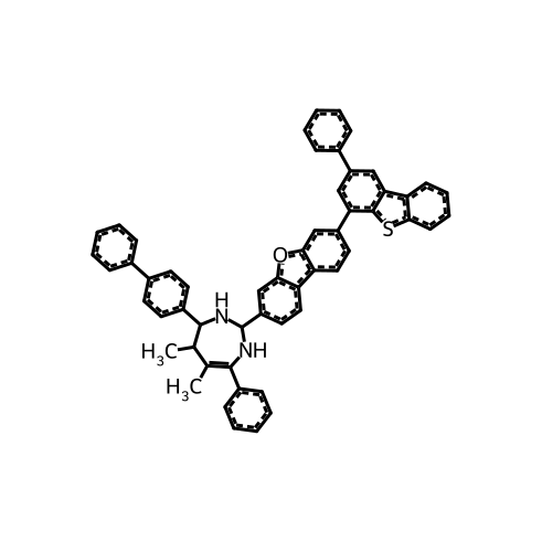 CC1=C(c2ccccc2)NC(c2ccc3c(c2)oc2cc(-c4cc(-c5ccccc5)cc5c4sc4ccccc45)ccc23)NC(c2ccc(-c3ccccc3)cc2)C1C